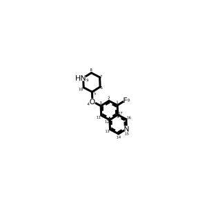 Fc1cc(OC2CCCNC2)cc2ccncc12